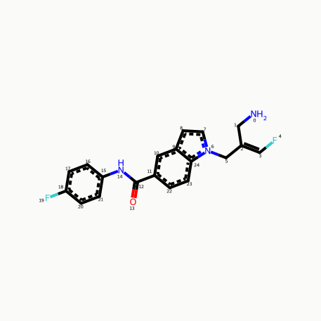 NC/C(=C\F)Cn1ccc2cc(C(=O)Nc3ccc(F)cc3)ccc21